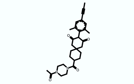 CC#Cc1cc(C)c(C2C(=O)CC3(CCC(C(=O)N4CCN(C(C)=O)CC4)CC3)CC2=O)c(C)c1